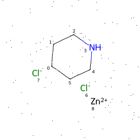 C1CCNCC1.[Cl-].[Cl-].[Zn+2]